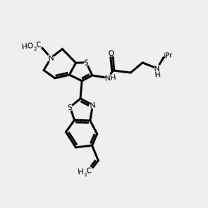 C=Cc1ccc2sc(C3=C(NC(=O)CCNC(C)C)SC4CN(C(=O)O)CC=C34)nc2c1